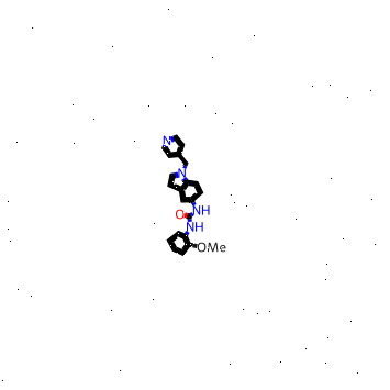 COc1ccccc1NC(=O)Nc1ccc2c(ccn2Cc2ccncc2)c1